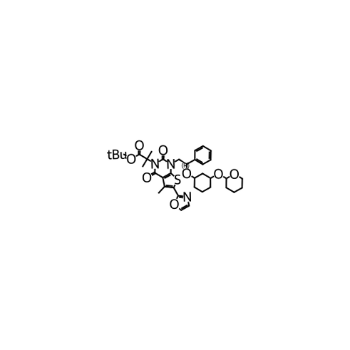 Cc1c(-c2ncco2)sc2c1c(=O)n(C(C)(C)C(=O)OC(C)(C)C)c(=O)n2C[C@H](OC1CCCC(OC2CCCCO2)C1)c1ccccc1